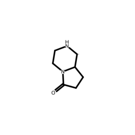 O=C1CCC2[CH]NCCN12